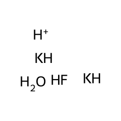 F.O.[H+].[KH].[KH]